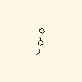 CCCCCCCCC/C=C/C(=O)Oc1ccc(C(=O)Oc2ccc(F)c(F)c2)cc1